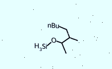 CCCCCC(C)C(C)O[SiH3]